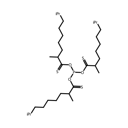 CC(C)CCCCCC(C)C(=S)OP(OC(=S)C(C)CCCCCC(C)C)OC(=S)C(C)CCCCCC(C)C